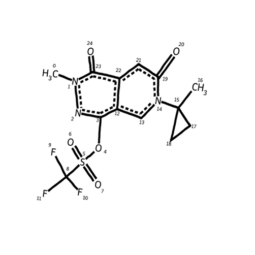 Cn1nc(OS(=O)(=O)C(F)(F)F)c2cn(C3(C)CC3)c(=O)cc2c1=O